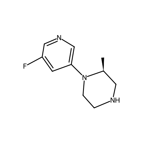 C[C@H]1CNCCN1c1cncc(F)c1